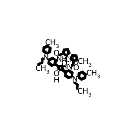 CCCCN(c1ccc(C)cc1)c1ccc(C2=C(O)/C(=C3C=C/C(=[N+](\CCCC)c4ccc(C)cc4)C=C\3NC(=O)C3=CC=CC3C)C2=O)c(NC(=O)C2=CC=CC2C)c1